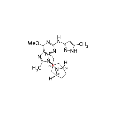 COc1nc(Nc2cc(C)[nH]n2)nc2c1nc(C)n2[C@@H]1C[C@H]2CC[C@@H](C1)N2CCC#N